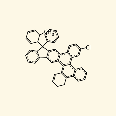 CC1C=CC=CC1C1(c2ccccc2)c2ccccc2-c2cc3c(cc21)c1ccc(Cl)cc1c1c2ccccc2c2c(c31)C=CCC2